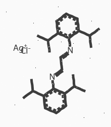 CC(C)c1cccc(C(C)C)c1N=CC=Nc1c(C(C)C)cccc1C(C)C.[Ag+].[Cl-]